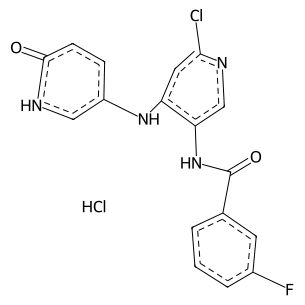 Cl.O=C(Nc1cnc(Cl)cc1Nc1ccc(=O)[nH]c1)c1cccc(F)c1